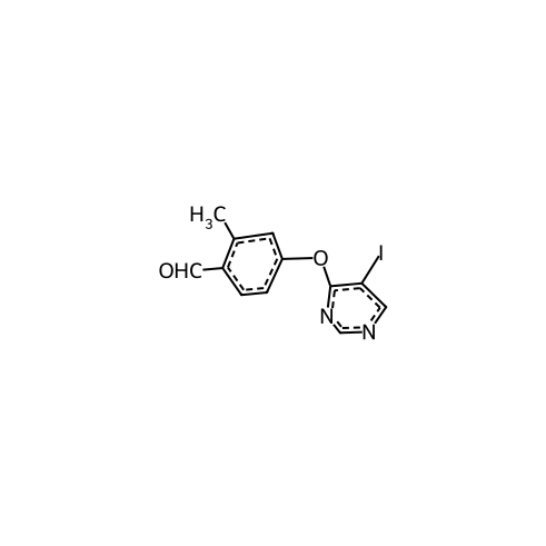 Cc1cc(Oc2ncncc2I)ccc1C=O